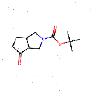 CC(C)(C)OC(=O)N1CC2CCC(=O)C2C1